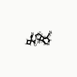 C[C@H]1CN(C(=O)C2(C#N)CCC2)[C@@H]2c3cncc(C#N)c3C21